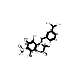 C[C@H]1Oc2c(Br)c([N+](=O)[O-])c(F)c(F)c2N(Cc2cccc(C(F)F)c2)C1=O